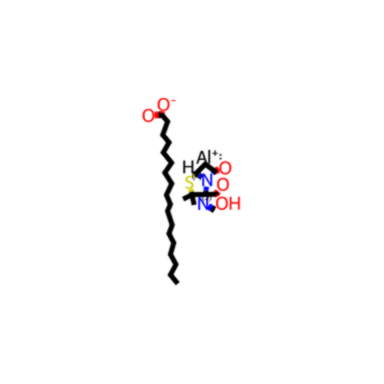 C=N[C@@]1(C(=O)O)N2C(=O)C[C@H]2SC1(C)C.CCCCCCCCCCCCCCCCCC(=O)[O-].[Al+]